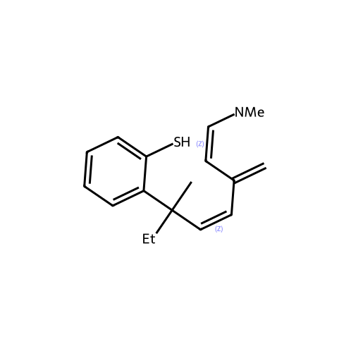 C=C(/C=C\NC)/C=C\C(C)(CC)c1ccccc1S